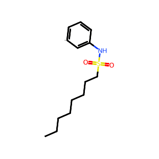 CCCCCCCCS(=O)(=O)Nc1c[c]ccc1